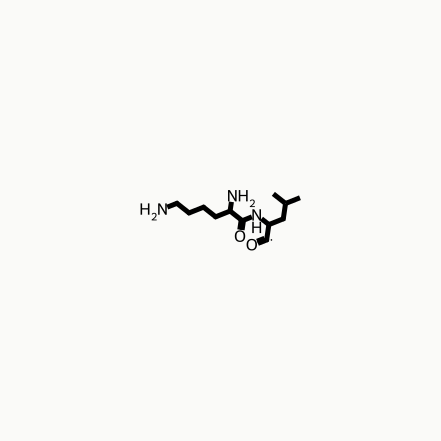 CC(C)CC([C]=O)NC(=O)C(N)CCCCN